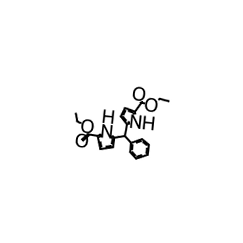 CCOC(=O)c1ccc(C(c2ccccc2)c2ccc(C(=O)OCC)[nH]2)[nH]1